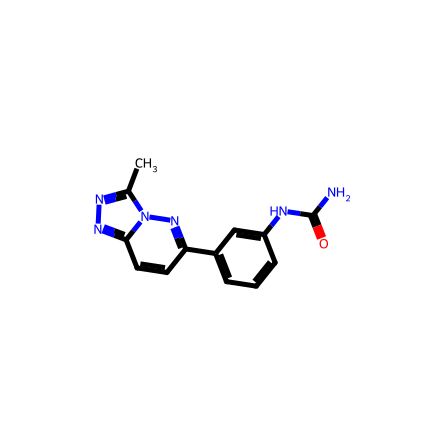 Cc1nnc2ccc(-c3cccc(NC(N)=O)c3)nn12